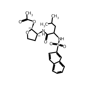 CC(=O)O[C@@H]1OCC[C@@H]1NC(=O)C(CC(C)C)NS(=O)(=O)c1ccc2ccccc2c1